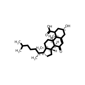 CC(C)CCC[C@@H](C)[C@H]1CC[C@H]2[C@@H]3C(=O)C=C4C[C@@H](O)CC(C(=O)O)[C@]4(C)[C@H]3CC[C@]12C